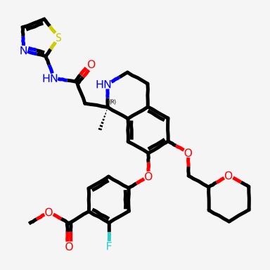 COC(=O)c1ccc(Oc2cc3c(cc2OCC2CCCCO2)CCN[C@]3(C)CC(=O)Nc2nccs2)cc1F